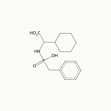 O=C(O)C(NP(=O)(O)Cc1ccccc1)C1CCCCC1